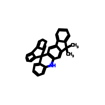 CC1(C)c2ccccc2-c2cc3c(cc21)Nc1ccccc1C31C2=CCCC=C2c2ccccc21